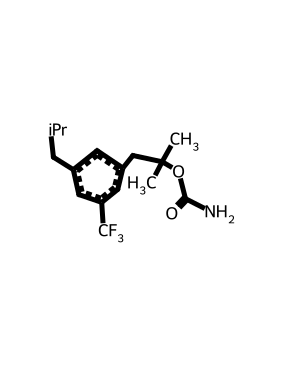 CC(C)Cc1cc(CC(C)(C)OC(N)=O)cc(C(F)(F)F)c1